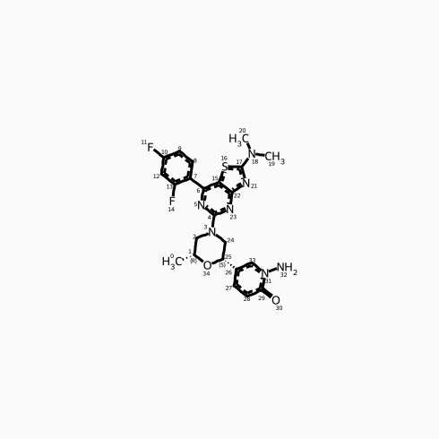 C[C@@H]1CN(c2nc(-c3ccc(F)cc3F)c3sc(N(C)C)nc3n2)C[C@H](c2ccc(=O)n(N)c2)O1